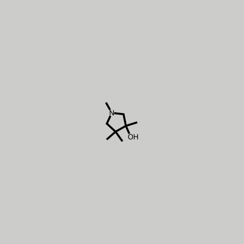 CN1CC(C)(C)C(C)(O)C1